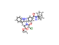 COC(=O)[C@H]1Cc2c([nH]c3ccccc23)C(c2ccc(C(=O)NC34CC5CC(CC(C5)C3)C4)cc2)N1C(=O)CCl